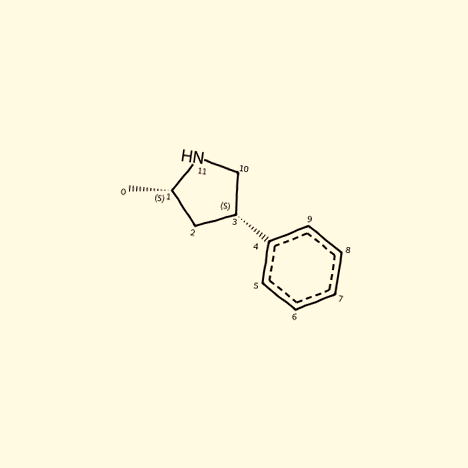 C[C@H]1C[C@@H](c2ccccc2)CN1